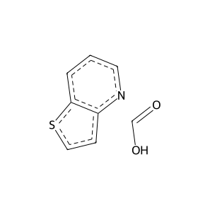 O=CO.c1cnc2ccsc2c1